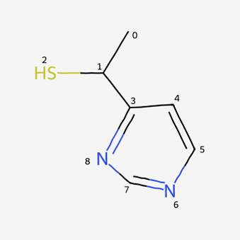 CC(S)c1ccncn1